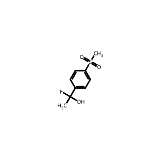 CC(O)(F)c1ccc(S(C)(=O)=O)cc1